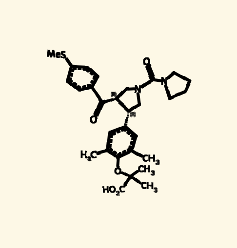 CSc1ccc(C(=O)[C@H]2CN(C(=O)N3CCCC3)C[C@@H]2c2cc(C)c(OC(C)(C)C(=O)O)c(C)c2)cc1